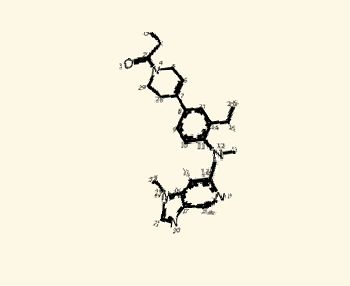 CCC(=O)N1CC=C(c2ccc(N(C)c3cc4c(cn3)ncn4C)c(CC)c2)CC1